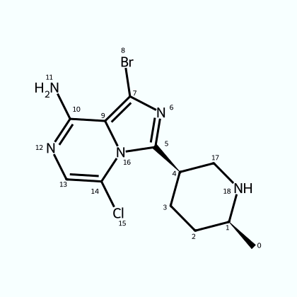 C[C@H]1CC[C@@H](c2nc(Br)c3c(N)ncc(Cl)n23)CN1